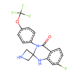 O=C1c2ccc(F)cc2NC2(CNC2)N1c1ccc(OC(F)(F)F)cc1